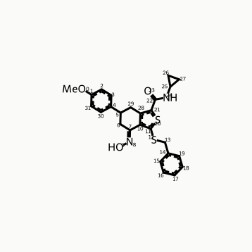 COc1ccc(C2C/C(=N\O)c3c(SCc4ccccc4)sc(C(=O)NC4CC4)c3C2)cc1